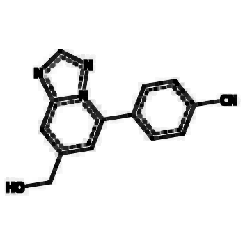 N#Cc1ccc(-c2cc(CO)cc3ncnn23)cc1